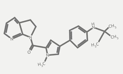 Cn1cc(-c2ccc(NC(C)(C)C)cc2)cc1C(=O)N1CCc2cccnc21